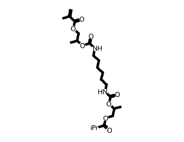 C=C(C)C(=O)OCC(C)OC(=O)NCCCCCCNC(=O)OC(C)COC(=O)C(C)C